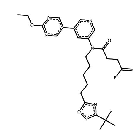 C=C(F)CCC(=O)N(CCCCCc1nc(C(C)(C)C)no1)c1cncc(-c2cnc(OCC)nc2)c1